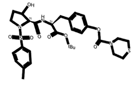 Cc1ccc(S(=O)(=O)N2CCC(O)[C@H]2C(=O)N[C@@H](Cc2ccc(OC(=O)N3CCSCC3)cc2)C(=O)OC(C)(C)C)cc1